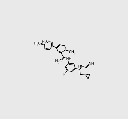 C=C/C=C\C(=C/C)C1=CCN(C)C(C(=C)Nc2cc(F)cc(C(CC3CC3)NC=N)c2)=C1